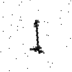 CCc1ccc(NC(=O)[C@H](CCCNC(N)=O)NC(=O)[C@@H](NC(=O)CCOCCOCCOCCOCCOCCOCCOCCOCCNC(=O)CCN2C(=O)CC(C)C2=O)C(C)C)cc1